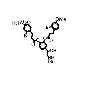 COc1ccc(CCC(=O)Oc2ccc(C(O)CNC(C)(C)C)cc2OC(=O)CCc2ccc(OC)cc2Br)c(Br)c1.Cl